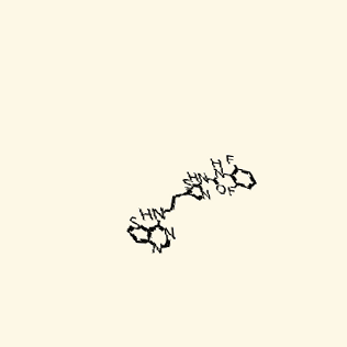 O=C(Nc1ncc(CCNc2ncnc3ccsc23)s1)Nc1c(F)cccc1F